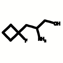 NC(CO)CC1(F)CCC1